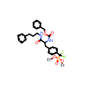 CCOP(=O)(OCC)C(F)(F)c1ccc(CC(NC(=O)OCc2ccccc2)C(=O)NCCCc2ccccc2)cc1